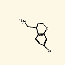 NCC1CCOc2cc(Br)ccc21